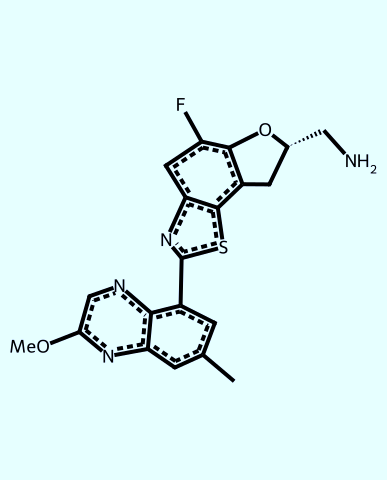 COc1cnc2c(-c3nc4cc(F)c5c(c4s3)C[C@@H](CN)O5)cc(C)cc2n1